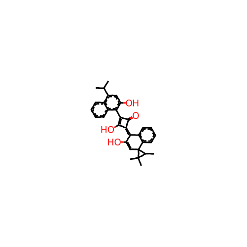 CC(C)c1cc(O)c(C2=C(O)/C(=C3\C(O)=CC4(c5ccccc53)C(C)C4(C)C)C2=O)c2ccccc12